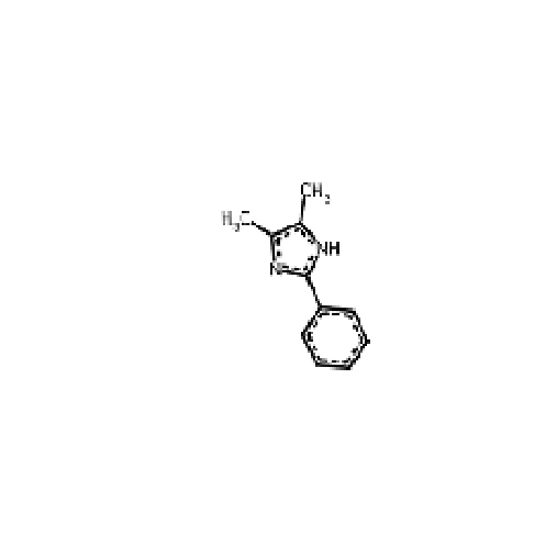 Cc1nc(-c2ccccc2)[nH]c1C